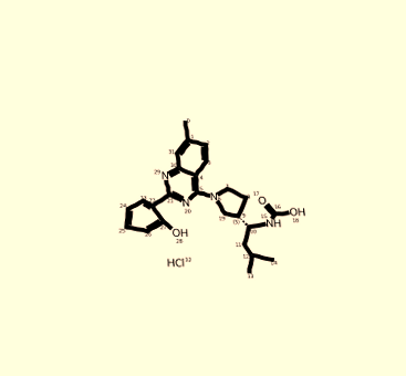 Cc1ccc2c(N3CC[C@H](C(CC(C)C)NC(=O)O)C3)nc(-c3ccccc3O)nc2c1.Cl